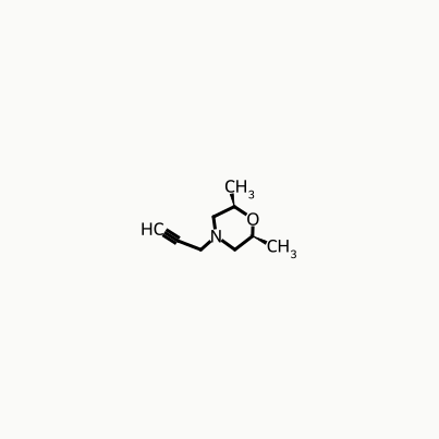 C#CCN1C[C@@H](C)O[C@@H](C)C1